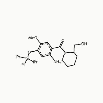 COc1cc(C(=O)N2CCCCC2CO)c(N)cc1O[Si](C(C)C)(C(C)C)C(C)C